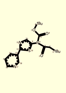 CC(C)(C)CC(=O)N(C(=O)OC(C)(C)C)c1cnc(-c2cccnc2)s1